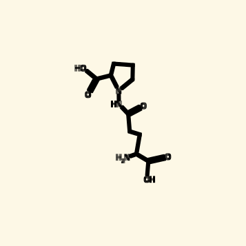 NC(CCC(=O)NN1CCCC1C(=O)O)C(=O)O